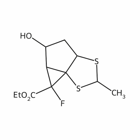 CCOC(=O)C1(F)C2C(O)CC3SC(C)SC321